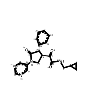 O=C(NCC1CC1)C(=O)[C@H]1CN(c2cncnc2)C(=O)[C@@H]1c1ccccc1